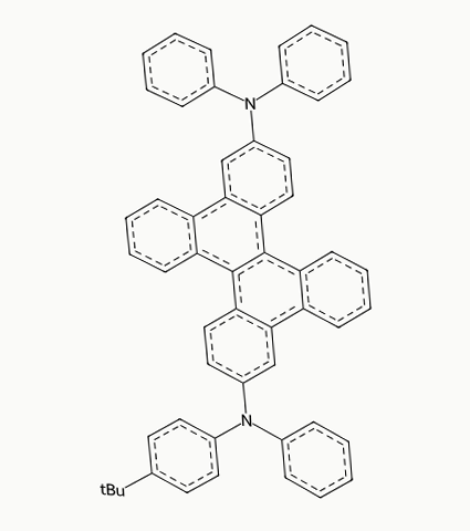 CC(C)(C)c1ccc(N(c2ccccc2)c2ccc3c(c2)c2ccccc2c2c4ccc(N(c5ccccc5)c5ccccc5)cc4c4ccccc4c32)cc1